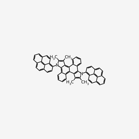 Cc1c(C)n(-c2ccc3ccc4cccc5ccc2c3c45)c2c3ccccc3c3c4c(C)c(C)n(-c5ccc6ccc7cccc8ccc5c6c78)c4c4ccccc4c3c12